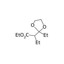 CCOC(=O)C(CC)C1(CC)OCCO1